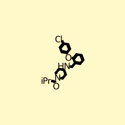 CC(C)C(=O)N1CCC(NCc2ccccc2Oc2ccc(Cl)cc2)CC1